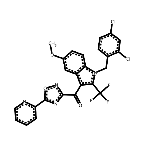 COc1ccc2c(c1)c(C(=O)c1noc(-c3ccccn3)n1)c(C(F)(F)F)n2Cc1ccc(Cl)cc1Cl